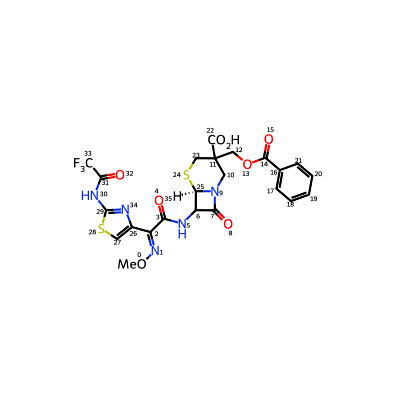 CON=C(C(=O)NC1C(=O)N2CC(COC(=O)c3ccccc3)(C(=O)O)CS[C@H]12)c1csc(NC(=O)C(F)(F)F)n1